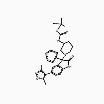 Cc1noc(C)c1-c1ccc2c(c1)C(c1ccccc1)(N1CCCC(NC(=O)OC(C)(C)C)C1)C(=O)N2